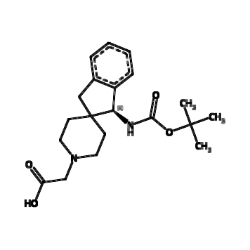 CC(C)(C)OC(=O)N[C@@H]1c2ccccc2CC12CCN(CC(=O)O)CC2